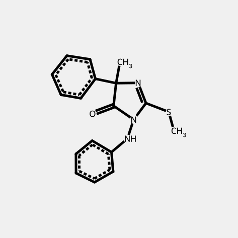 CSC1=NC(C)(c2ccccc2)C(=O)N1Nc1ccccc1